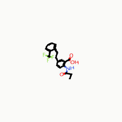 CCC(=O)Nc1ccc(CCc2ccccc2C(F)(F)F)cc1C(=O)O